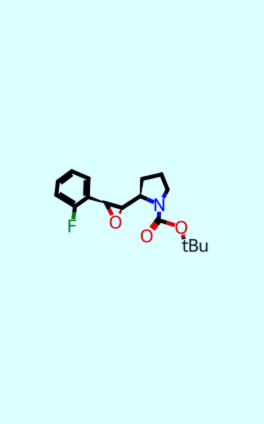 CC(C)(C)OC(=O)N1CCC[C@@H]1[C@@H]1O[C@H]1c1ccccc1F